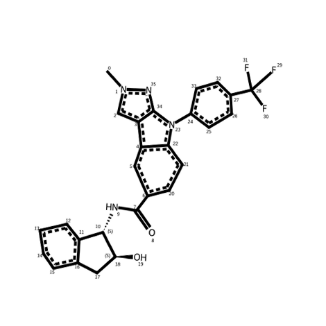 Cn1cc2c3cc(C(=O)N[C@H]4c5ccccc5C[C@@H]4O)ccc3n(-c3ccc(C(F)(F)F)cc3)c2n1